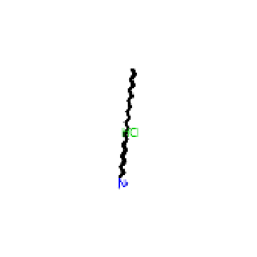 CCCCCCCCCCCCCCCCCCCCCN(C)C.Cl